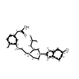 Cc1ccc(CC(=O)O)cc1OCCN1CCN(c2nc3ccc(Cl)cc3s2)C[C@@H]1CC(C)C